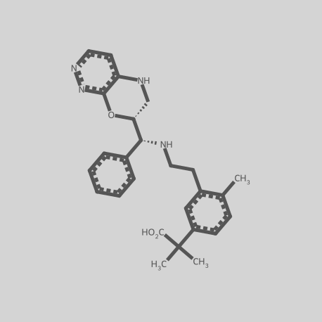 Cc1ccc(C(C)(C)C(=O)O)cc1CCN[C@H](c1ccccc1)[C@H]1CNc2ccnnc2O1